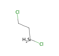 ClCC[SiH2]Cl